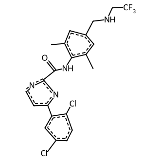 Cc1cc(CNCC(F)(F)F)cc(C)c1NC(=O)c1nccc(-c2cc(Cl)ccc2Cl)n1